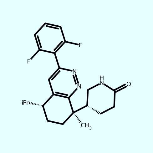 CC(C)[C@H]1CC[C@](C)([C@H]2CCC(=O)NC2)c2nnc(-c3c(F)cccc3F)cc21